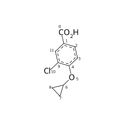 O=C(O)c1ccc(OC2CC2)c(Cl)c1